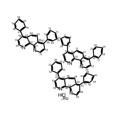 Cl.[Ru].c1ccc(-c2ccnc3c2ccc2c(-c4ccccc4)ccnc23)cc1.c1ccc(-c2ccnc3c2ccc2c(-c4ccccc4)ccnc23)cc1.c1ccc(-c2ccnc3c2ccc2c(-c4ccccc4)ccnc23)cc1